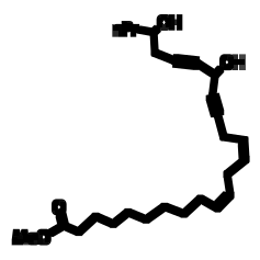 CCCC(O)CC#CC(O)C#CC/C=C\C/C=C\CCCCCCCCC(=O)OC